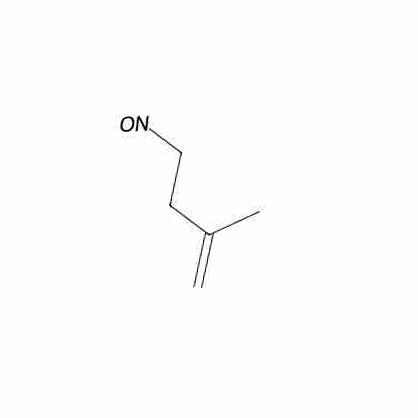 C=C(C)CCN=O